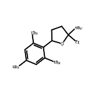 CCCCC1(CC)CCC(c2c(C(C)(C)C)cc(C(C)(C)C)cc2C(C)(C)C)O1